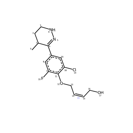 CC1CCNN=C1c1cc(F)c(OC/C=C\CO)c(Cl)c1